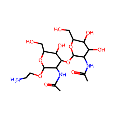 CC(=O)NC1C(OC2C(O)C(CO)OC(OCCN)C2NC(C)=O)OC(CO)C(O)C1O